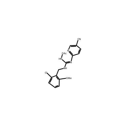 COc1cccc(Cl)c1CNC(=Nc1ccc(C#N)cn1)NOC(C)=O